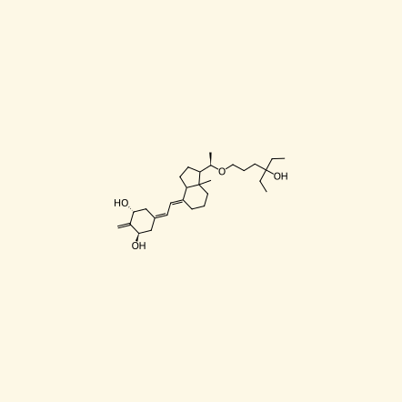 C=C1[C@H](O)CC(=C/C=C2\CCCC3(C)C2CCC3[C@@H](C)OCCCC(O)(CC)CC)C[C@H]1O